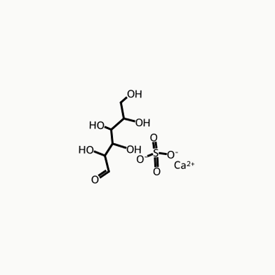 O=CC(O)C(O)C(O)C(O)CO.O=S(=O)([O-])[O-].[Ca+2]